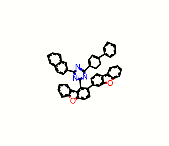 C1=C(c2ccccc2)CCC(c2nc(-c3ccc4ccccc4c3)nc(-c3c(-c4ccc5c(c4)oc4ccccc45)ccc4oc5ccccc5c34)n2)=C1